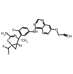 C#CCOc1cnc2c(Nc3ccc(F)c([C@]4(C)N=C(N)S[C@@]5(C(F)F)C[C@@H]45)c3)ncnc2c1